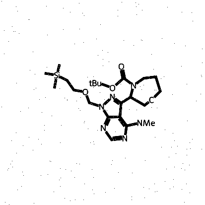 CNc1ncnc2c1c(C1CCCCCN1C(=O)OC(C)(C)C)nn2COCC[Si](C)(C)C